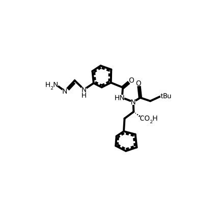 CC(C)(C)CC(=O)N(NC(=O)c1cccc(NC=NN)c1)[C@@H](Cc1ccccc1)C(=O)O